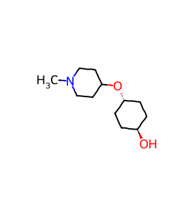 CN1CCC(O[C@H]2CC[C@H](O)CC2)CC1